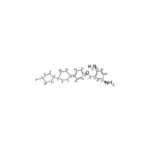 CC1CCC(C2CCC(c3ccc(OCc4cc(N)ccc4N)cc3)CC2)CC1